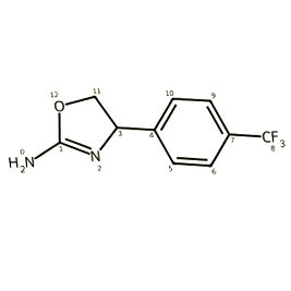 NC1=NC(c2ccc(C(F)(F)F)cc2)CO1